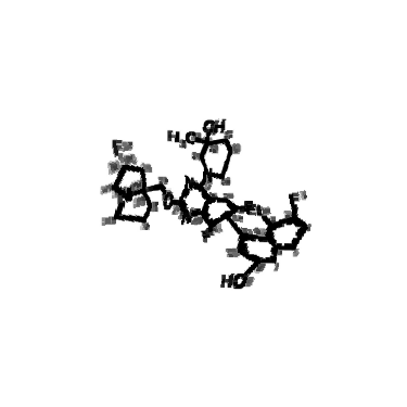 CCc1c(F)ccc2cc(O)cc(-c3c(F)cc4c(N5CCC[C@@](C)(O)C5)nc(OC[C@@]56CCCN5C[C@H](F)C6)nc4c3F)c12